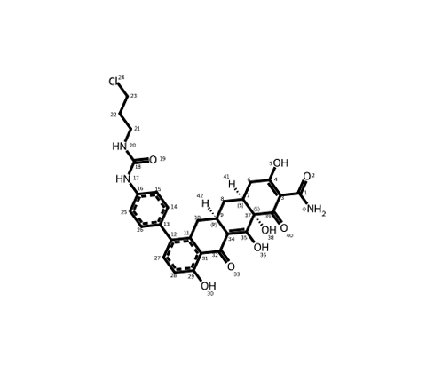 NC(=O)C1=C(O)C[C@@H]2C[C@@H]3Cc4c(-c5ccc(NC(=O)NCCCCl)cc5)ccc(O)c4C(=O)C3=C(O)[C@]2(O)C1=O